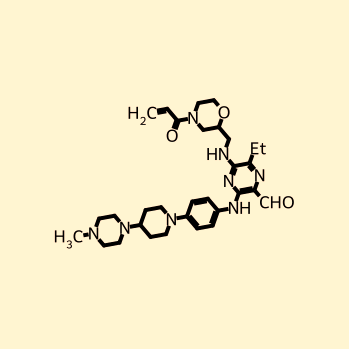 C=CC(=O)N1CCOC(CNc2nc(Nc3ccc(N4CCC(N5CCN(C)CC5)CC4)cc3)c(C=O)nc2CC)C1